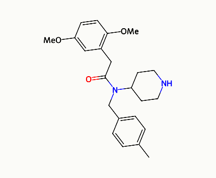 COc1ccc(OC)c(CC(=O)N(Cc2ccc(C)cc2)C2CCNCC2)c1